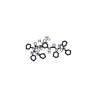 CC1(C)CC(NC2OC2N(/C(=N/C2CCCCC2)ON=C2CCCCC2)C2CCCCC2)CC(C)(CNC(=O)N(/C(=N/C2CCCCC2)ON=C2CCCCC2)C2CCCCC2)C1